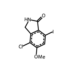 COc1cc(I)c2c(c1Cl)CNC2=O